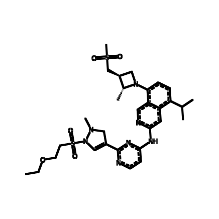 CCOCCS(=O)(=O)N1C=C(c2nccc(Nc3cc4c(C(C)C)ccc(N5C[C@H](CS(C)(=O)=O)[C@H]5C)c4cn3)n2)CN1C